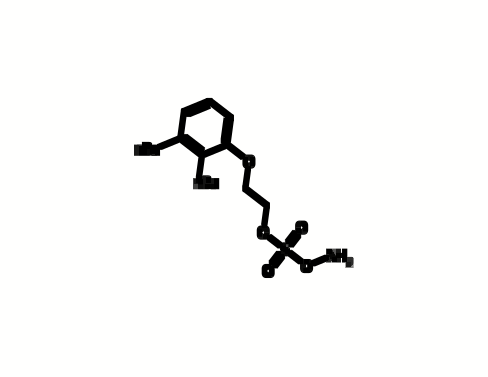 CCCCc1cccc(OCCOS(=O)(=O)ON)c1CCCC